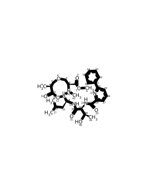 COC(=O)[C@@H]1COC[C@H](C)C(=O)OB([C@H](CC(C)C)NC(=O)[C@@H](NC(=O)c2cccc(-c3ccccc3)n2)[C@@H](C)O)N1C